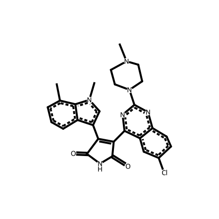 Cc1cccc2c(C3=C(c4nc(N5CCN(C)CC5)nc5ccc(Cl)cc45)C(=O)NC3=O)cn(C)c12